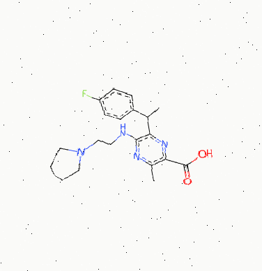 Cc1nc(NCCN2CCCC2)c(C(C)c2ccc(F)cc2)nc1C(=O)O